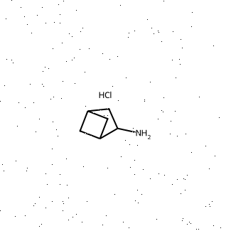 Cl.NC1CC2CC1C2